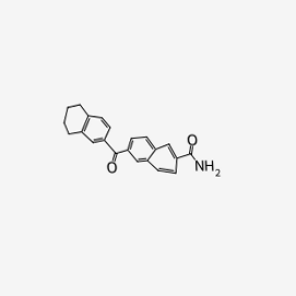 NC(=O)c1ccc2cc(C(=O)c3ccc4c(c3)CCCC4)ccc2c1